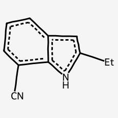 CCc1cc2cccc(C#N)c2[nH]1